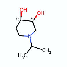 CC(C)N1CC[C@@H](O)[C@@H](O)C1